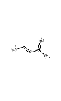 CC=CC(=N)N